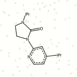 CC(C)c1ccnc(N2CCN(C(C)C)C2=O)c1